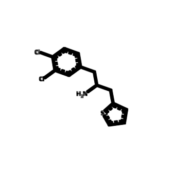 NC(Cc1ccc(Cl)c(Cl)c1)Cc1cccs1